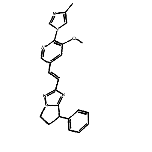 COc1cc(/C=C/c2nc3n(n2)CCC3c2ccccc2)cnc1-n1cnc(C)c1